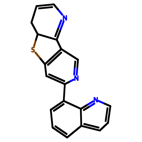 C1=CN=C2c3cnc(-c4cccc5cccnc45)cc3SC2C1